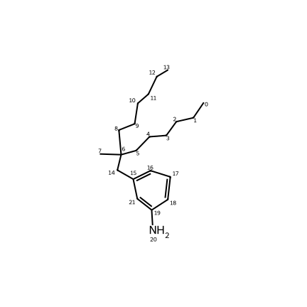 CCCCCCC(C)(CCCCCC)Cc1cccc(N)c1